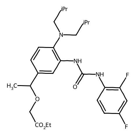 CCOC(=O)COC(C)c1ccc(N(CC(C)C)CC(C)C)c(NC(=O)Nc2ccc(F)cc2F)c1